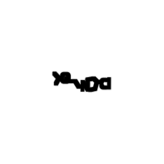 CC(C)OCCCN1CCC(Cl)CC1